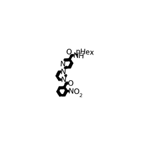 CCCCCCNC(=O)c1ccc(N2C=CCN(C(=O)c3ccccc3[N+](=O)[O-])C2)nc1